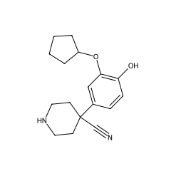 N#CC1(c2ccc(O)c(OC3CCCC3)c2)CCNCC1